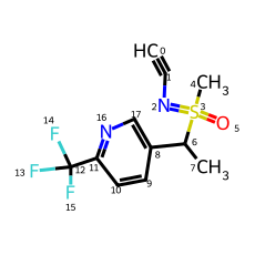 C#CN=S(C)(=O)C(C)c1ccc(C(F)(F)F)nc1